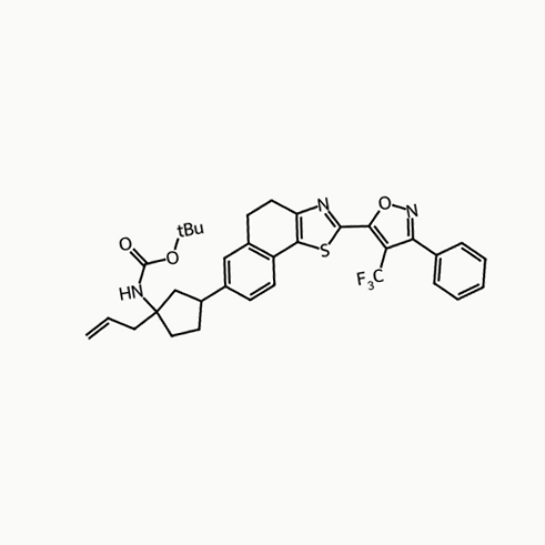 C=CCC1(NC(=O)OC(C)(C)C)CCC(c2ccc3c(c2)CCc2nc(-c4onc(-c5ccccc5)c4C(F)(F)F)sc2-3)C1